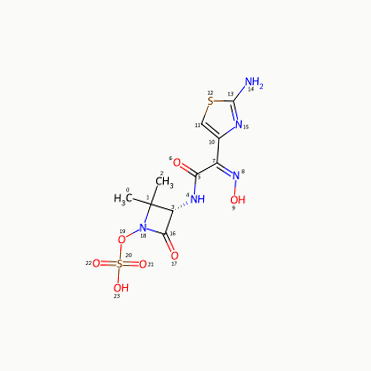 CC1(C)[C@H](NC(=O)/C(=N\O)c2csc(N)n2)C(=O)N1OS(=O)(=O)O